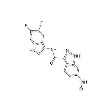 CCNc1ccc2c(C(=O)Nc3c[nH]c4cc(F)c(F)cc34)n[nH]c2c1